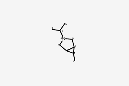 CC1C2CN(C(C)C)CC12